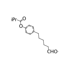 CC(C)C(=O)Oc1ccc(CCCCC[C]=O)cc1